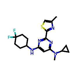 Cc1csc(-c2nc(NC3CCC(F)(F)CC3)cc(N(C)C3CC3)n2)n1